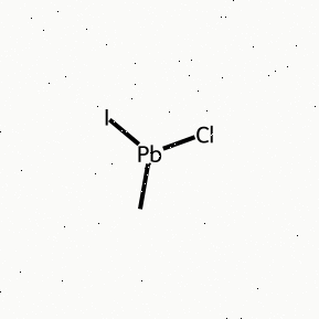 [CH3][Pb]([Cl])[I]